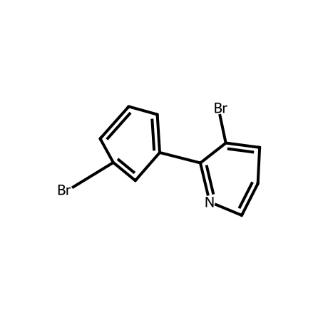 Brc1cccc(-c2ncccc2Br)c1